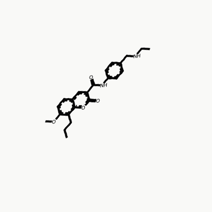 CCCc1c(OC)ccc2cc(C(=O)Nc3ccc(CNCC)cc3)c(=O)oc12